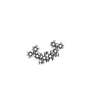 Fc1c(F)c(-c2c(F)c(F)c(Nc3ccc(N(c4ccccc4)c4ccccc4)cc3)c(F)c2F)c(F)c(F)c1Nc1ccc(N(c2ccccc2)c2ccccc2)cc1